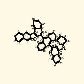 c1ccc2cc3c(cc2c1)oc1c(-c2c4ccccc4c(-c4nc5ccccc5c5nc6ccccn6c45)c4ccccc24)cc2ccccc2c13